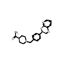 NC(=O)C1CCN(Cc2ccc(C3COc4cccnc4O3)cc2)CC1